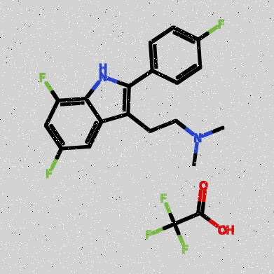 CN(C)CCc1c(-c2ccc(F)cc2)[nH]c2c(F)cc(F)cc12.O=C(O)C(F)(F)F